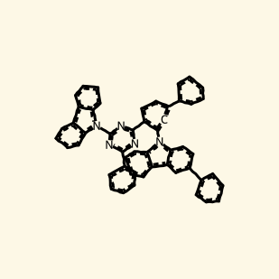 c1ccc(-c2ccc(-c3nc(-c4ccccc4)nc(-n4c5ccccc5c5ccccc54)n3)c(-n3c4ccccc4c4cc(-c5ccccc5)ccc43)c2)cc1